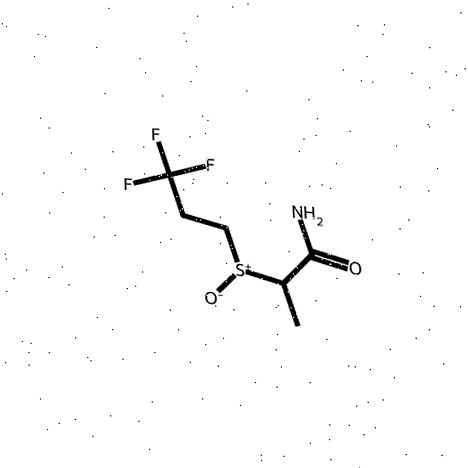 CC(C(N)=O)[S+]([O-])CCC(F)(F)F